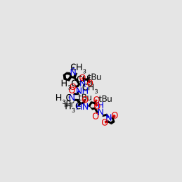 C/C(=C\[C@H](C(C)C)N(C)C(=O)[C@@H](NC(=O)[C@@H](N(C)C(=O)C(=O)C(C)(C)C)C(C)(C)c1cn(C)c2ccccc12)C(C)(C)C)C(=O)N[C@H](CCC(=O)NCCN1C(=O)C=CC1=O)CC(=O)OC(C)(C)C